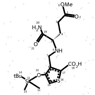 COC(=O)CC[C@H](NCc1c(O[Si](C)(C)C(C)(C)C)csc1C(=O)O)C(N)=O